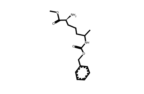 COC(=O)[C@@H](N)CCCC(C)NC(=O)OCc1ccccc1